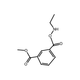 CCNOC(=O)c1cccc(C(=O)OC)c1